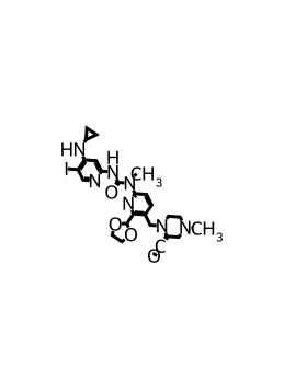 CN1CCN(Cc2ccc(N(C)C(=O)Nc3cc(NC4CC4)c(I)cn3)nc2C2OCCO2)C(=C=O)C1